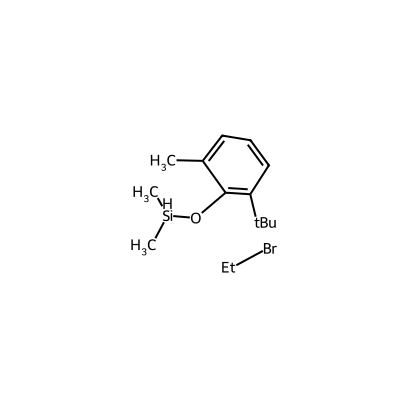 CCBr.Cc1cccc(C(C)(C)C)c1O[SiH](C)C